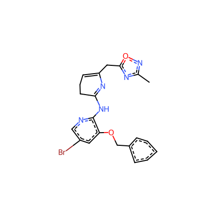 Cc1noc(CC2=CCCC(Nc3ncc(Br)cc3OCc3ccccc3)=N2)n1